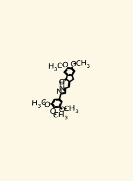 COc1cc2c(cc1OC)C(=O)C(=Cc1cc(-c3cc(OC)c(OC)c(OC)c3)n[nH]1)C2